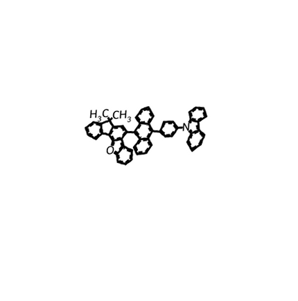 CC1(C)c2ccccc2-c2c1cc(-c1c3ccccc3c(-c3ccc(-n4c5ccccc5c5ccccc54)cc3)c3ccccc13)c1c2oc2ccccc21